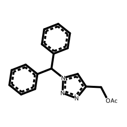 CC(=O)OCc1cn(C(c2ccccc2)c2ccccc2)nn1